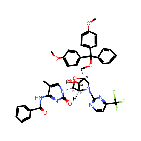 COc1ccc(C(OC[C@@]23CN(c4nccc(C(F)(F)F)n4)[C@@H]([C@H](n4cc(C)c(NC(=O)c5ccccc5)nc4=O)O2)[C@@H]3O)(c2ccccc2)c2ccc(OC)cc2)cc1